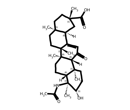 CC(=O)N[C@@]1(C)[C@@H]2CC[C@]3(C)[C@H](C(=O)C=C4[C@@H]5C[C@@](C)(C(=O)O)CC[C@]5(C)CC[C@]43C)[C@@]2(C)CC[C@@H]1O